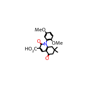 COc1ccc(OC)c(-n2c3c(cc(C(=O)O)c2=O)C(=O)CC(C)(C)C3)c1